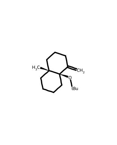 C=C1CCC[C@@]2(C)CCCC[C@@]12OC(C)(C)C